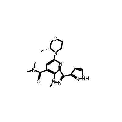 C[C@@H]1COCCN1c1cc(C(=O)N(C)C)c2c(n1)c(-c1cc[nH]n1)nn2C